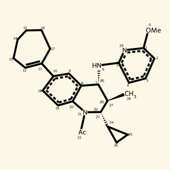 COc1cccc(N[C@H]2c3cc(C4=CCCCCC4)ccc3N(C(C)=O)[C@@H](C3CC3)[C@@H]2C)n1